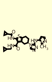 Cn1nccc1Nc1nncn1[C@H]1CCc2sc(NC(=O)C3CC3)c(C(=O)NCC3CC3)c2C1